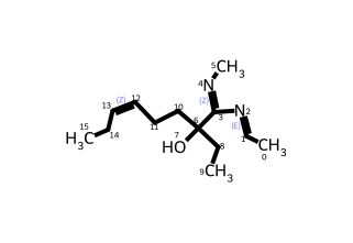 C/C=N/C(=N\C)C(O)(CC)CC/C=C\CC